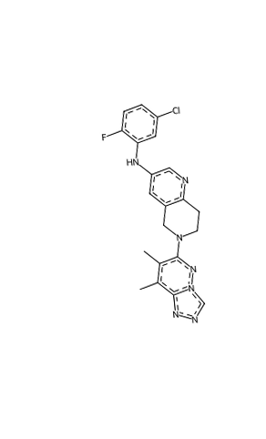 Cc1c(N2CCc3ncc(Nc4cc(Cl)ccc4F)cc3C2)nn2cnnc2c1C